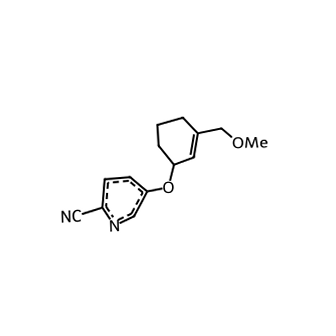 COCC1=CC(Oc2ccc(C#N)nc2)CCC1